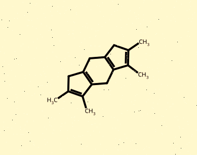 CC1=C(C)C2=C(C1)CC1=C(C2)C(C)=C(C)C1